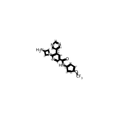 NC1CN(c2ncc(C(=O)Nc3ccc(OC(F)(F)F)cc3)cc2-c2cncnc2)C1